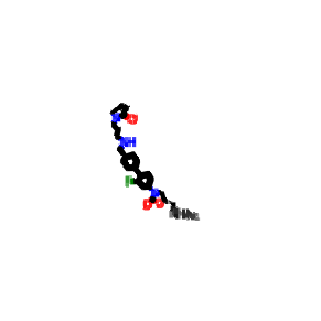 CC(=O)NC[C@H]1CN(c2ccc(-c3ccc(CNCCCN4CCCC4=O)cc3)c(F)c2)C(=O)O1